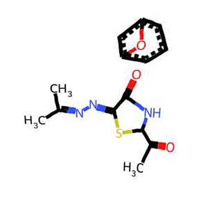 CC(=O)C1NC(=O)C(=NN=C(C)C)S1.c1cc2cc(c1)O2